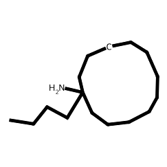 CCCCC1(N)CCCCCCCCCCC1